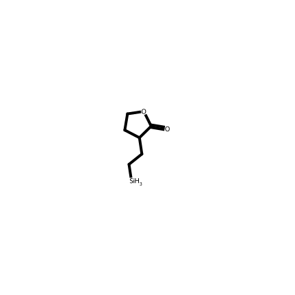 O=C1OCCC1CC[SiH3]